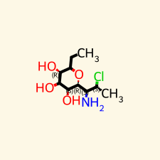 CCC1O[C@H]([C@H](N)[C@H](C)Cl)[C@@H](O)C(O)[C@H]1O